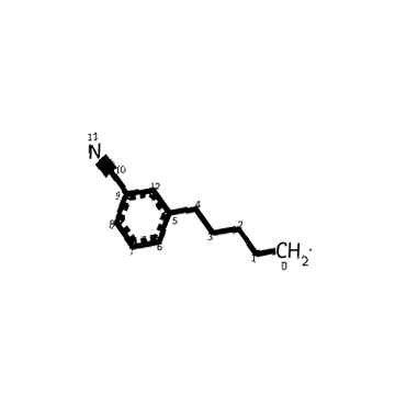 [CH2]CCCCc1cccc(C#N)c1